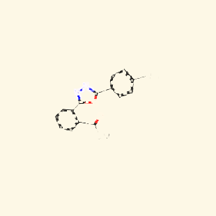 COC(=O)c1ccccc1-c1nnc(-c2ccc(C(C)(C)C)cc2)o1